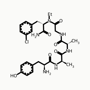 CCN(C(=O)CNC(=O)[C@H](C)NC(=O)[C@@H](C)NC(=O)[C@@H](N)Cc1ccc(O)cc1)[C@@H](Cc1cccc(Cl)c1)C(N)=O